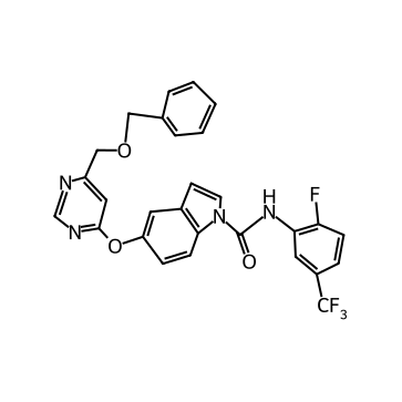 O=C(Nc1cc(C(F)(F)F)ccc1F)n1ccc2cc(Oc3cc(COCc4ccccc4)ncn3)ccc21